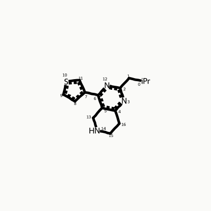 CC(C)Cc1nc2c(c(-c3ccsc3)n1)CNCC2